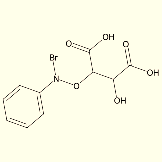 O=C(O)C(O)C(ON(Br)c1ccccc1)C(=O)O